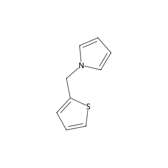 c1csc(Cn2cccc2)c1